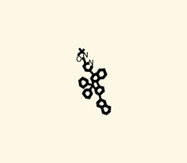 CC1(C)COC(c2ccc(-c3cc4c(c5ccccc35)-c3ccc(-c5ccc6ccccc6c5)cc3C4(c3ccccc3)c3ccccc3)cn2)=N1